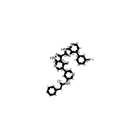 O=C(Cc1ccccc1)Nc1cncc(-c2cnc3[nH]nc(-c4nc5c(-c6cccc(F)c6)ccnc5[nH]4)c3c2F)c1